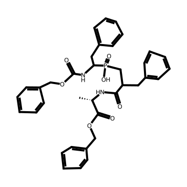 C[C@H](NC(=O)C(Cc1ccccc1)CP(=O)(O)C(Cc1ccccc1)NC(=O)OCc1ccccc1)C(=O)OCc1ccccc1